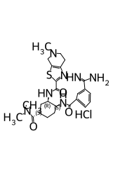 CN1CCc2nc(C(=O)N[C@@H]3C[C@@H](C(=O)N(C)C)CC[C@@H]3NC(=O)c3cccc(C(=N)N)c3)sc2C1.Cl